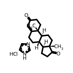 C[C@]12CCC(=O)C=C1CC[C@@H]1[C@@H]2CC[C@]2(C)C(=O)CC[C@@H]12.Cl.c1c[nH]cn1